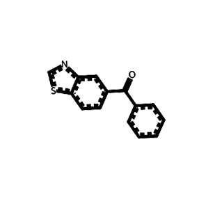 O=C(c1ccccc1)c1ccc2scnc2c1